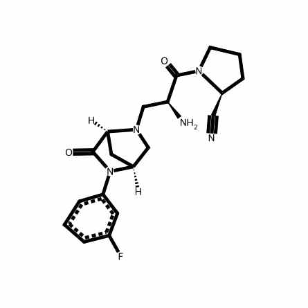 N#C[C@@H]1CCCN1C(=O)[C@@H](N)CN1C[C@@H]2C[C@H]1C(=O)N2c1cccc(F)c1